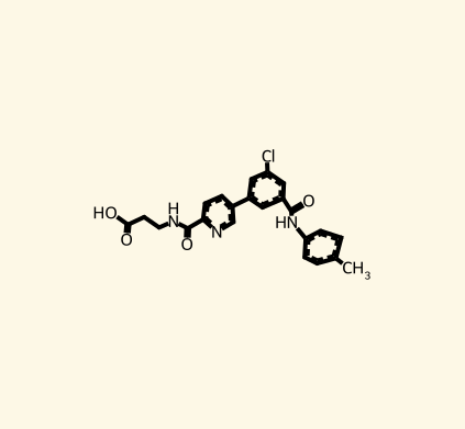 Cc1ccc(NC(=O)c2cc(Cl)cc(-c3ccc(C(=O)NCCC(=O)O)nc3)c2)cc1